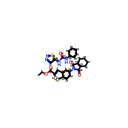 CCOC(=O)/C(Cl)=C/c1cc(N2C(=O)C3=C(CCCC3)C2=O)ccc1Cl.O=C(Nc1ccccc1)Nc1cnns1